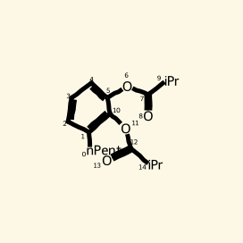 CCCCCc1cccc(OC(=O)C(C)C)c1OC(=O)C(C)C